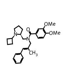 COc1ccc(C(=O)N(CC(C)=Cc2ccccc2)C[C@@H]2CCCN2C2CCC2)cc1OC